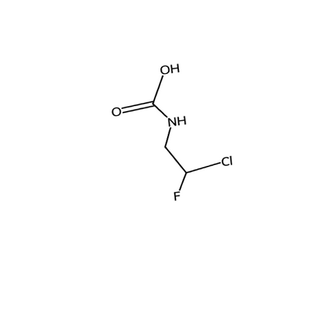 O=C(O)NCC(F)Cl